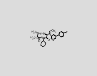 CC[C@H](C(=N)C(=O)[C@@H](NC(=O)[C@H](C)NC)C1CCCCC1)c1cncc(-c2ccc(F)cc2)c1